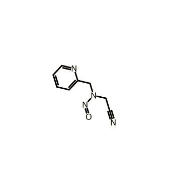 N#CCN(Cc1ccccn1)N=O